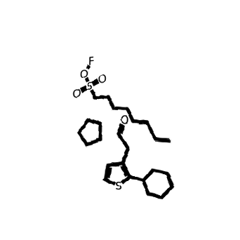 C1CCCC1.CCCCCCCCS(=O)(=O)OF.O=CCc1ccsc1C1CCCCC1